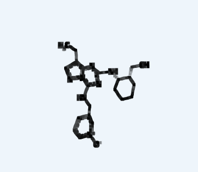 CCc1cnn2c(NCc3ccc[n+]([O-])c3)nc(N[C@H]3CCCC[C@H]3CO)nc12